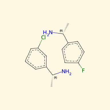 C[C@@H](N)c1ccc(F)cc1.C[C@@H](N)c1cccc(Cl)c1